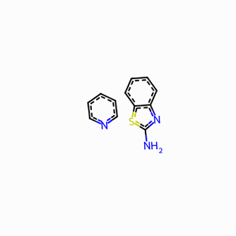 Nc1nc2ccccc2s1.c1ccncc1